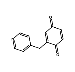 O=C1C=CC(=O)C(Cc2ccncc2)=C1